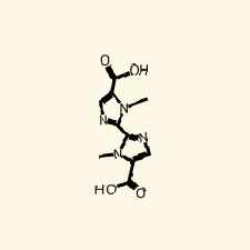 Cn1c(C(=O)O)cnc1-c1ncc(C(=O)O)n1C